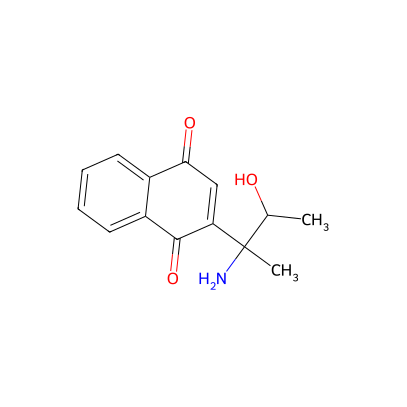 CC(O)C(C)(N)C1=CC(=O)c2ccccc2C1=O